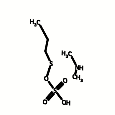 CCCSOS(=O)(=O)O.CNC